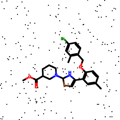 COC(=O)C1CCCN(C2NC(c3cc(C)ccc3OCc3ccc(Br)cc3C)=CS2)C1